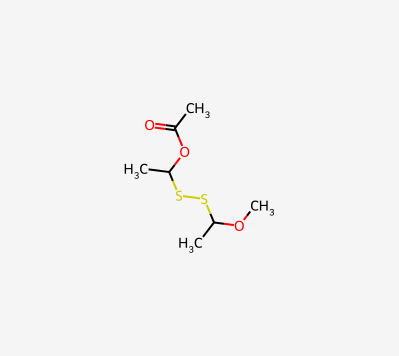 COC(C)SSC(C)OC(C)=O